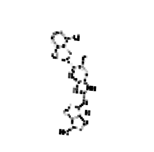 O[C@@H]1CO[C@H]2C1OC[C@H]2Oc1nc2nc(NCc3c(Cl)cccc3Cl)c(Cl)cc2[nH]1